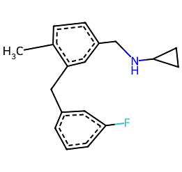 Cc1ccc(CNC2CC2)cc1Cc1cccc(F)c1